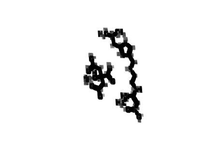 CNC(=C[N+](=O)[O-])NCCSCc1csc(CN(C)C)n1.O=C([O-])CC(O)(CC(=O)[O-])C(=O)[O-].[Bi+3]